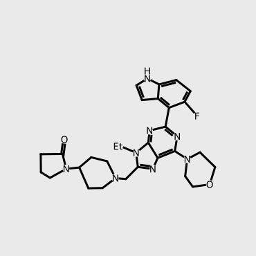 CCn1c(CN2CCC(N3CCCC3=O)CC2)nc2c(N3CCOCC3)nc(-c3c(F)ccc4[nH]ccc34)nc21